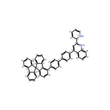 C1=CNC(c2cc(-c3ccc(-c4ccc(-c5cccc6c5-c5ccccc5C65c6ccccc6-c6ccccc65)cc4)cc3)c3ccccc3n2)C=C1